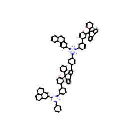 C1=Cc2cc(-c3nc(-c4ccccc4)nc(-c4cccc(-c5ccc6c(c5)C5(c7ccccc7O6)c6ccccc6-c6ccc(-c7ccc(-c8nc(-c9cccc(-c%10ccc%11c(c%10)C%10(c%12ccccc%12O%11)c%11ccccc%11-c%11ccccc%11%10)c9)nc(-c9ccc%10c(ccc%11ccccc%11%10)c9)n8)cc7)cc65)c4)n3)cc3cccc(c23)C1